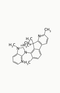 Cc1ccc2c(n1)C(C)(C)c1c-2ccc(C)c1N1c2ncccc2N(C)[C@@H]1C